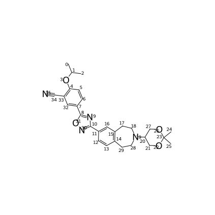 CC(C)Oc1ccc(-c2nc(-c3ccc4c(c3)CCN(C3COC(C)(C)OC3)CC4)no2)cc1C#N